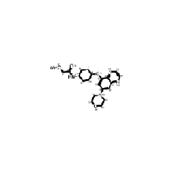 COCC(=O)N[C@H]1CC[C@@H](Oc2cc(N3CCOCC3)cc3nccnc23)CC1